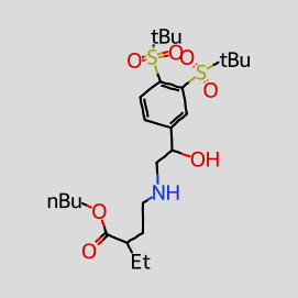 CCCCOC(=O)C(CC)CCNCC(O)c1ccc(S(=O)(=O)C(C)(C)C)c(S(=O)(=O)C(C)(C)C)c1